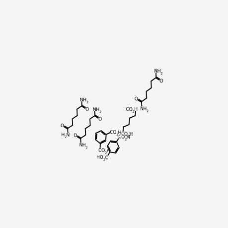 NC(=O)CCCCC(N)=O.NC(=O)CCCCC(N)=O.NC(=O)CCCCC(N)=O.O=C(O)CCCCC(=O)O.O=C(O)c1ccc(C(=O)O)cc1.O=C(O)c1cccc(C(=O)O)c1